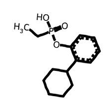 CCP(=O)(O)Oc1ccccc1C1CCCCC1